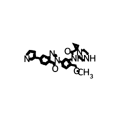 COCc1ccc(-n2cnc3cc(-c4cccnc4)ccc3c2=O)cc1NC(=O)C1(N2CCNCC2)CC1